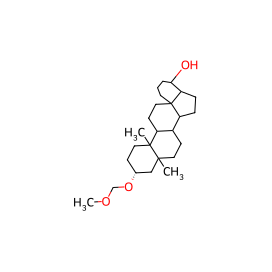 COCO[C@@H]1CCC2(C)C3CCC45CCCC(O)C4CCC5C3CCC2(C)C1